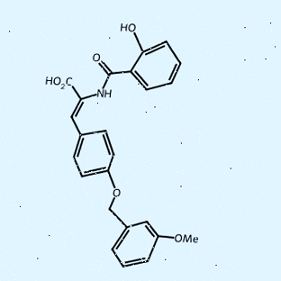 COc1cccc(COc2ccc(C=C(NC(=O)c3ccccc3O)C(=O)O)cc2)c1